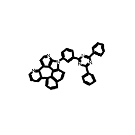 c1ccc(-c2nc(-c3ccccc3)nc(-c3cccc(-n4c5ccc6cccc7c6c5c5c(ccnc54)-c4ncccc4-7)c3)n2)cc1